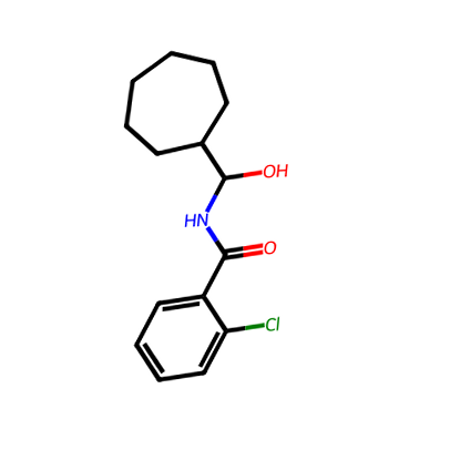 O=C(NC(O)C1CCCCCC1)c1ccccc1Cl